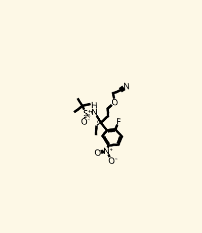 CC[C@@](CCOCC#N)(N[S@@+]([O-])C(C)(C)C)c1cc([N+](=O)[O-])ccc1F